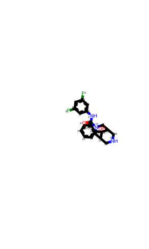 O=C(Nc1cc(F)cc(F)c1)N1CC2CNCC(C1)C2(O)c1ccccc1